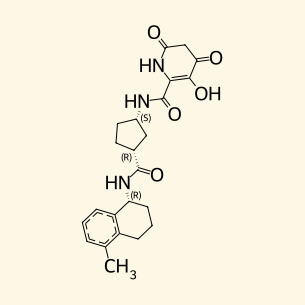 Cc1cccc2c1CCC[C@H]2NC(=O)[C@@H]1CC[C@H](NC(=O)C2=C(O)C(=O)CC(=O)N2)C1